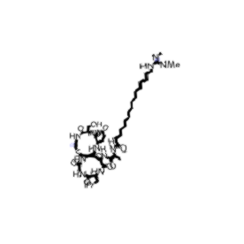 C/N=C(\NC)NCCCCCCCCCCCCCCCCC(=O)NC(C)C(=O)NC1CC2(CS/C=C\NC(=O)C(CO)NC(=O)C(CCC(N)=O)NC2=O)NC(=O)CNC(=O)C(CC(C)C)NC1=O